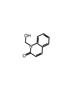 O=c1ccc2ccccc2n1CO